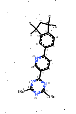 CC(C)(C)c1nc(-c2ccc(-c3ccc4c(c3)C(C)(C)CC4(C)C)nc2)nc(C(C)(C)C)n1